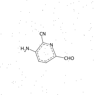 N#Cc1nc(C=O)ccc1N